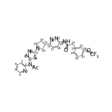 CC(=O)N(c1ccccn1)c1nnc(N2CCC(c3ccc(NC(=O)Cc4cccc(OC(F)(F)F)c4)nn3)C2)s1